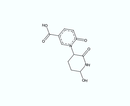 O=C(O)c1ccc(=O)n(C2CCC(O)NC2=O)c1